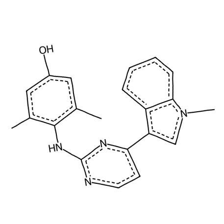 Cc1cc(O)cc(C)c1Nc1nccc(-c2cn(C)c3ccccc23)n1